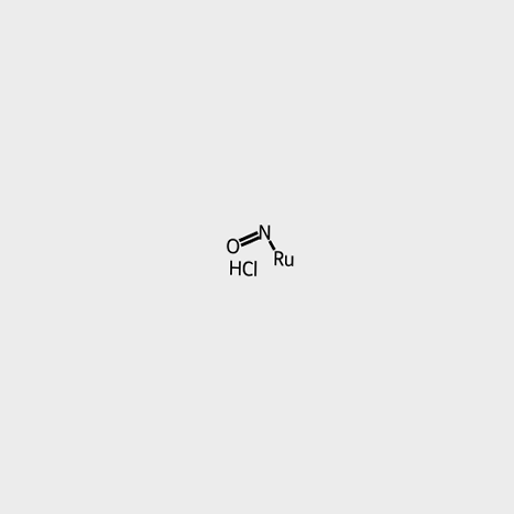 Cl.O=[N][Ru]